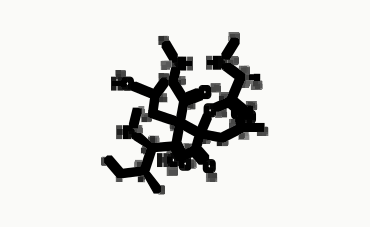 CC[C@H](C)[C@@H](NC)C(=O)C(CC(C)O)(C(=O)CNC)C(CC(C)O)(OC(=O)[C@@H](C)NC)C(=O)O